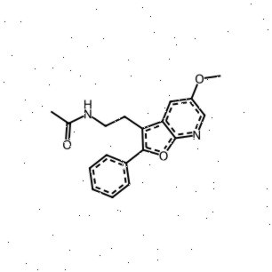 COc1cnc2oc(-c3ccccc3)c(CCNC(C)=O)c2c1